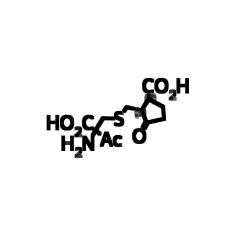 CC(=O)C(N)(CSC[C@@H]1C(=O)CC[C@H]1C(=O)O)C(=O)O